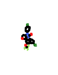 O=C1N(c2ccc(Cl)cc2)C2CCOCC2(c2cccc(OC(F)(F)F)c2)N1c1ccc(Cl)cc1